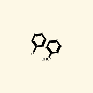 Ic1ccccc1.O=Cc1ccccc1